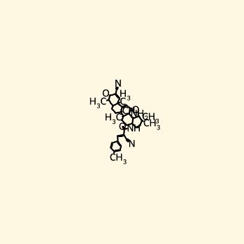 Cc1ccc(/C=C(\C#N)C(=O)NC23CCC(C)(C)CC2(N)C2C(=O)C=C4C5(C)C=C(C#N)C(=O)C(C)C5CCC4(C)[C@]2(C)CC3)cc1